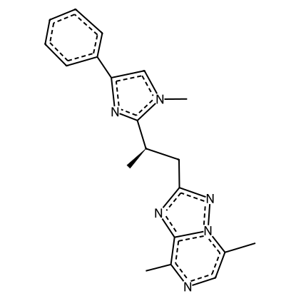 Cc1ncc(C)n2nc(C[C@@H](C)c3nc(-c4ccccc4)cn3C)nc12